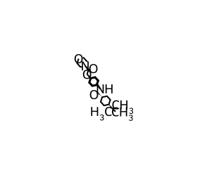 CC(C)(C)[C@H]1CC[C@H](C(=O)Nc2ccc(OC(=O)N3CCOCC3)cc2)CC1